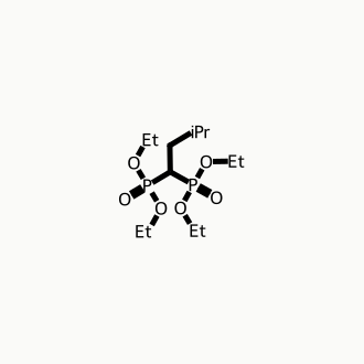 CCOP(=O)(OCC)C(CC(C)C)P(=O)(OCC)OCC